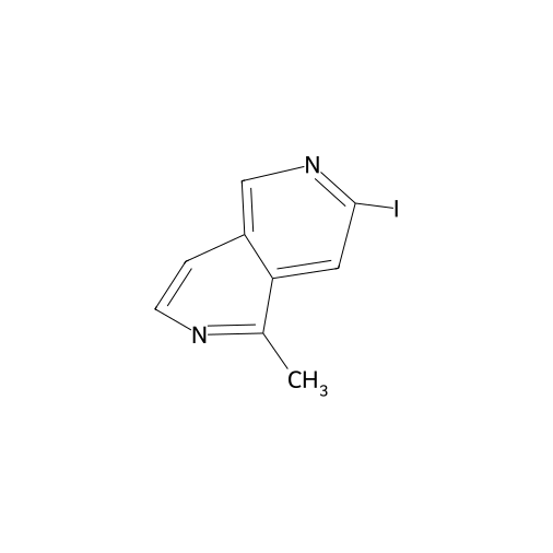 Cc1nccc2cnc(I)cc12